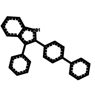 c1ccc(-c2ccc(-c3[nH]c4ccccc4c3-c3ccccc3)cc2)cc1